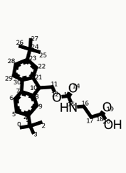 CC(C)(C)c1ccc2c(c1)C(COC(=O)NCCC(=O)O)c1cc(C(C)(C)C)ccc1-2